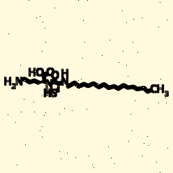 CCCCCCCCCCCCCCCCCCN[C@@H](CS)C(=O)N[C@@H](CCCCN)C(=O)O